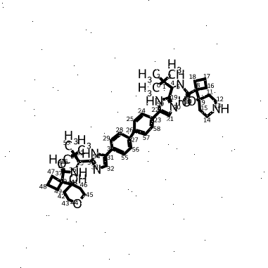 CC(C)(C)[C@H](NC(=O)C1(C2(O)CCNCC2)CCC1)c1ncc(-c2ccc(-c3ccc(-c4cnc([C@@H](NC(=O)C5(C6(O)CCOCC6)CCC5)C(C)(C)C)[nH]4)cc3)cc2)[nH]1